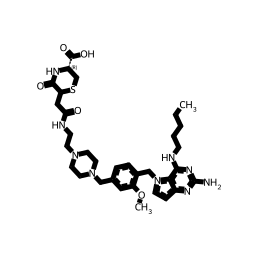 CCCCCNc1nc(N)nc2ccn(Cc3ccc(CN4CCN(CCNC(=O)CC5SC[C@@H](C(=O)O)NC5=O)CC4)cc3OC)c12